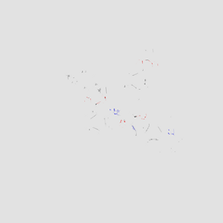 CCC(=O)Oc1ccc(CCC2C(=O)/C(=C\c3cc4c5c(c3)CCCN5CCC4)O/C2=N\c2ccccc2C(=O)OC2CC(C(C)C)CCC2C)cc1